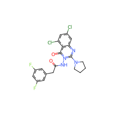 O=C(Cc1cc(F)cc(F)c1)Nn1c(N2CCCC2)nc2cc(Cl)cc(Cl)c2c1=O